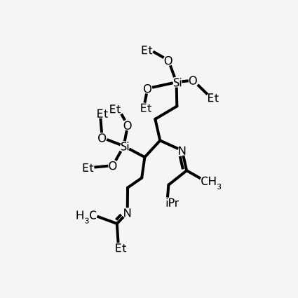 CCO[Si](CCC(N=C(C)CC(C)C)C(CCN=C(C)CC)[Si](OCC)(OCC)OCC)(OCC)OCC